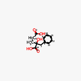 CC(=O)O.CC(O)(Cc1ccccc1)C(=O)O